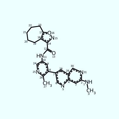 CNc1cc2ncc(-c3cc(NC(=O)c4noc5c4CCCCC5)cnc3C)cc2cn1